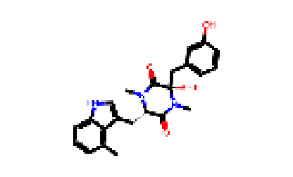 Cc1cccc2[nH]cc(C[C@H]3C(=O)N(C)[C@@](O)(Cc4cccc(O)c4)C(=O)N3C)c12